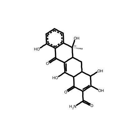 C[C@@]1(O)c2cccc(O)c2C(=O)C2=C(O)C3C(=O)C(C(N)=O)=C(O)C(O)C3CC21